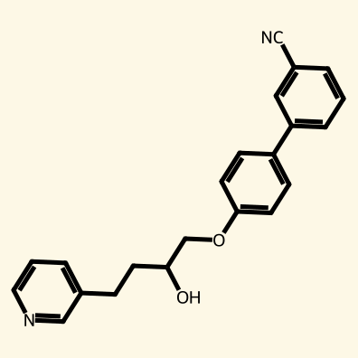 N#Cc1cccc(-c2ccc(OCC(O)CCc3cccnc3)cc2)c1